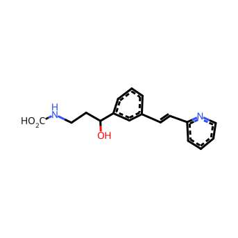 O=C(O)NCCC(O)c1cccc(/C=C/c2ccccn2)c1